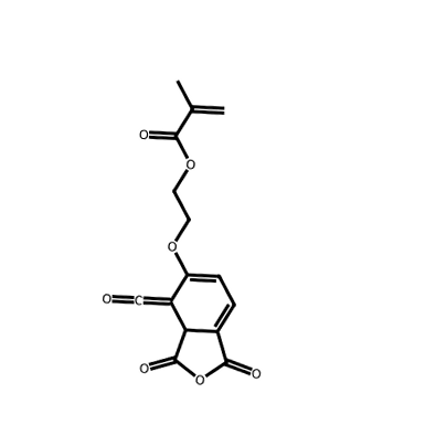 C=C(C)C(=O)OCCOC1=CC=C2C(=O)OC(=O)C2C1=C=O